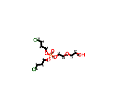 O=P(OCCCCl)(OCCCCl)OCCOCCO